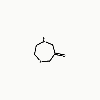 O=C1CNCCSC1